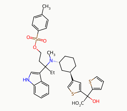 CCC(CCOS(=O)(=O)c1ccc(C)cc1)(c1c[nH]c2ccccc12)N(C)[C@@H]1CCC[C@@H](c2csc(C(O)(C(=O)O)c3cccs3)c2)C1